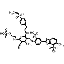 C=CS(=O)(=O)c1ccc(CCNc2nc(NCCOS(=O)(=O)O)c(C#N)c(C)c2/N=N/c2ccc(-c3nc4ccc(C)c(S(=O)(=O)O)c4s3)cc2S(=O)(=O)O)cc1